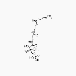 CCCCCC(=O)SCCNC(=O)CCNC(=O)C(O)C(C)(C)COP(=O)(O)O